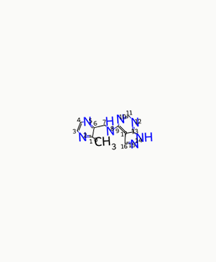 Cc1nccnc1CNc1ncnc2[nH]ncc12